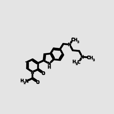 CN(C)CCN(C)Cc1ccc2[nH]c(-c3c[c]cn(C(N)=O)c3=O)cc2c1